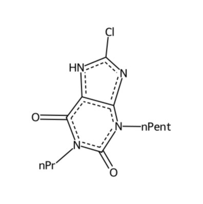 [CH2]CCn1c(=O)c2[nH]c(Cl)nc2n(CCCCC)c1=O